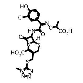 CC(O/N=C(\C(=O)NC1C(=O)N2C(C(=O)O)=C(CSc3nnnn3C)CS[C@H]12)c1ccc(O)c(Cl)c1)C(=O)O